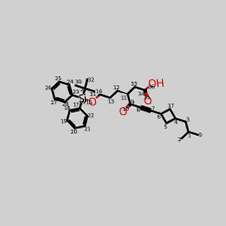 CC(C)CC1CC(C#CC(=O)[C@@H](CCCO[Si](c2ccccc2)(c2ccccc2)C(C)(C)C)CC(=O)O)C1